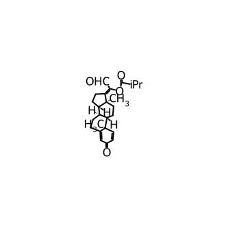 CC(C)C(=O)O/C(C=O)=C1/CC[C@H]2[C@@H]3CCC4=CC(=O)C=C[C@]4(C)[C@H]3CC[C@]12C